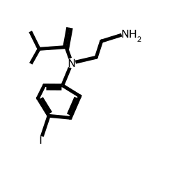 C=C(C(C)C)N(CCN)c1ccc(I)cc1